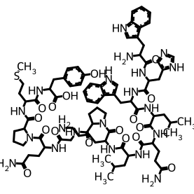 CSCCC(NC(=O)C1CCCN1C(=O)C(CCC(N)=O)NC(=O)CNC(=O)C1CCCN1C(=O)C(CCCCN)NC(=O)C(CC(C)C)NC(=O)C(CCC(N)=O)NC(=O)C(CC(C)C)NC(=O)C(Cc1c[nH]c2ccccc12)NC(=O)C(Cc1cnc[nH]1)NC(=O)C(N)Cc1c[nH]c2ccccc12)C(=O)NC(Cc1ccc(O)cc1)C(=O)O